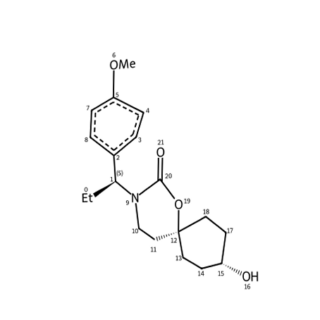 CC[C@@H](c1ccc(OC)cc1)N1CC[C@]2(CC[C@@H](O)CC2)OC1=O